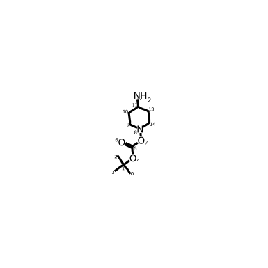 CC(C)(C)OC(=O)ON1CCC(N)CC1